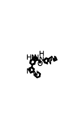 O=C(Nc1ccnc(CN2CCC2)c1)c1n[nH]c2ccc(-c3cncc(N4CCCCC4)c3)cc12